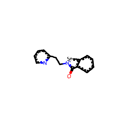 O=c1c2ccccc2[se]n1CCc1ccccn1